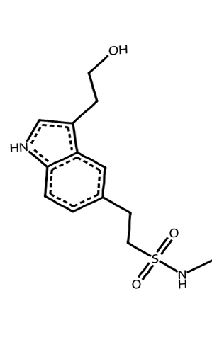 CNS(=O)(=O)CCc1ccc2[nH]cc(CCO)c2c1